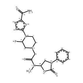 CN(C(=O)CN1CCN(c2nnc(C(N)=O)s2)C(F)C1)C1CN(c2ccccc2)C(=O)O1